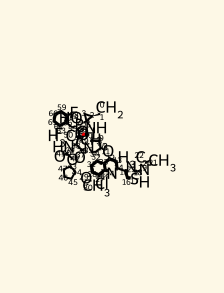 C=C[C@@H]1C[C@]1(NC(=O)[C@@H]1C[C@@H](Oc2cc(-c3csc(NC(C)C)n3)nc3c(Cl)c(OC)ccc23)CN1C(=O)C(NC(=O)OC1CCCC1)C(C)(C)C)P(=O)(O)Cc1c(F)cccc1F